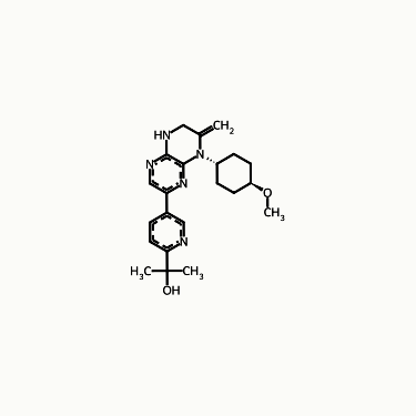 C=C1CNc2ncc(-c3ccc(C(C)(C)O)nc3)nc2N1[C@H]1CC[C@H](OC)CC1